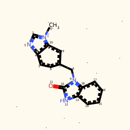 Cn1cnc2ccc(Cn3c(=O)[nH]c4ccccc43)cc21